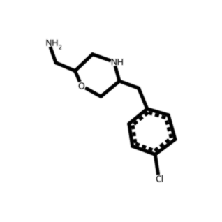 NCC1CNC(Cc2ccc(Cl)cc2)CO1